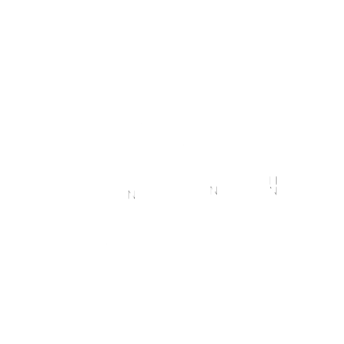 c1ccc(-c2cc(-c3ccccc3)c3c(n2)c(-c2ccc4ccc5cc[nH]c5c4n2)cc2ccccc23)cc1